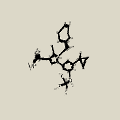 Cc1c(C(N)=O)cc(-c2cc(OC(F)(F)F)cc(C3(C)CC3)c2)n1CC1CCCCC1